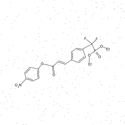 CCOP(=O)(OCC)C(F)(F)c1ccc(/C=C/C(=O)Oc2ccc([N+](=O)[O-])cc2)cc1